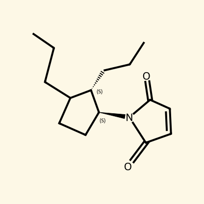 CCCC1CC[C@H](N2C(=O)C=CC2=O)[C@H]1CCC